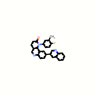 Cc1cc(-n2c(=O)ccc3cnc4ccc(-c5cnc6ccccc6c5)cc4c32)ccc1F